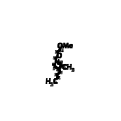 C=CCCC1CCN(COCCOC)CC1C